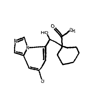 O=C(O)C1(C(O)c2cc(Cl)cc3cncn23)CCCCC1